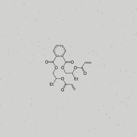 C=CC(=O)OC(CC)COC(=O)c1ccccc1C(=O)OCC(CC)OC(=O)C=C